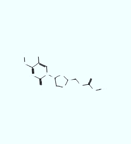 CCCCCCCCOC(=O)OC[C@@H]1O[C@H](n2cc(F)c(NC(=O)O)nc2=O)CS1